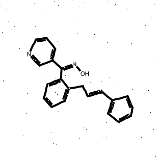 ON=C(c1cccnc1)c1ccccc1CC=Cc1ccccc1